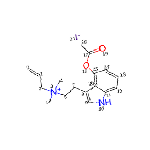 C=CC[N+](C)(C)CCc1c[nH]c2cccc(OC(C)=O)c12.[I-]